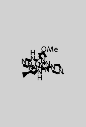 CO[C@H]1C[C@@H](C(=O)Nc2cnccn2)N(c2nc(Nc3cc(C4CC4)n[nH]3)nc(N3CCCN(C)CC3)n2)C1